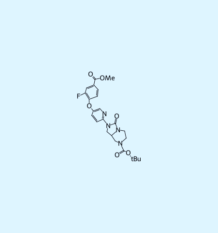 COC(=O)c1ccc(Oc2ccc(N3CC4CN(C(=O)OC(C)(C)C)CCN4C3=O)nc2)c(F)c1